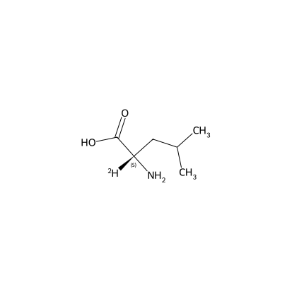 [2H][C@](N)(CC(C)C)C(=O)O